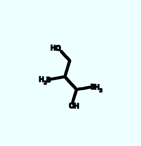 BC(O)C(B)CO